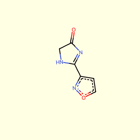 O=C1CNC(c2ccon2)=N1